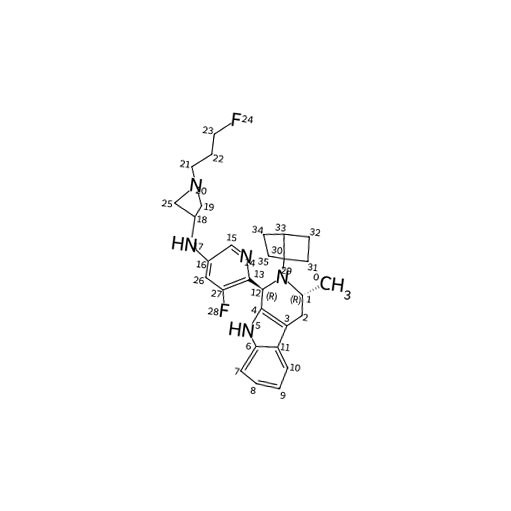 C[C@@H]1Cc2c([nH]c3ccccc23)[C@@H](c2ncc(NC3CN(CCCF)C3)cc2F)N1C12CCC1CC2